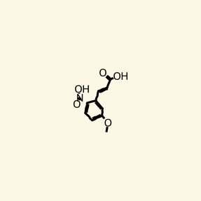 COc1cccc(C=CC(=O)O)c1.O=NO